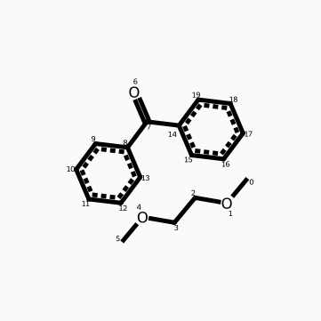 COCCOC.O=C(c1ccccc1)c1ccccc1